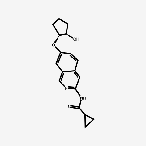 O=C(Nc1cc2ccc(O[C@H]3CCC[C@H]3O)cc2cn1)C1CC1